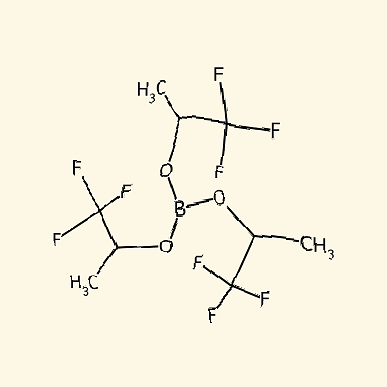 CC(OB(OC(C)C(F)(F)F)OC(C)C(F)(F)F)C(F)(F)F